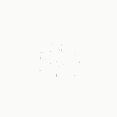 CC(C)(C)[PH](C(C)(C)C)(C(C)(C)C)[Pd]([Cl])([Cl])([PH](C(C)(C)C)(C(C)(C)C)C(C)(C)C)([PH](C(C)(C)C)(C(C)(C)C)C(C)(C)C)[PH](C(C)(C)C)(C(C)(C)C)C(C)(C)C